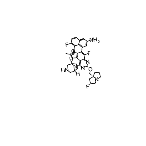 C#Cc1c(F)ccc2cc(N)cc(-c3c(F)c4nc(OC[C@@]56CCCN5C[C@H](F)C6)nc(N5[C@@H]6CC[C@H]5CNC6)c4c4cc(C)oc34)c12